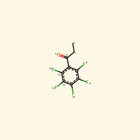 CCC(=O)c1c(F)c(F)c(F)c(F)c1F